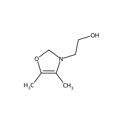 CC1=C(C)N(CCO)CO1